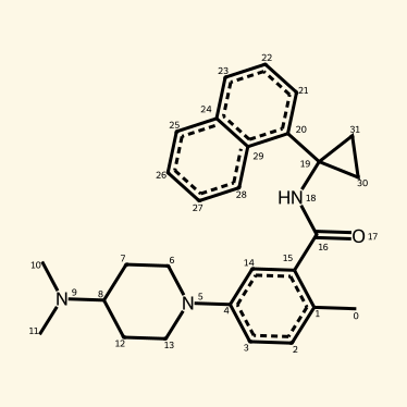 Cc1ccc(N2CCC(N(C)C)CC2)cc1C(=O)NC1(c2cccc3ccccc23)CC1